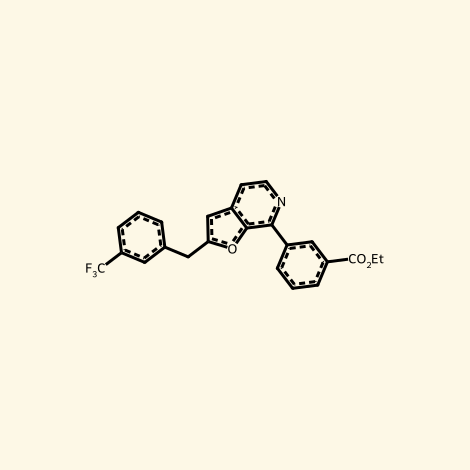 CCOC(=O)c1cccc(-c2nccc3cc(Cc4cccc(C(F)(F)F)c4)oc23)c1